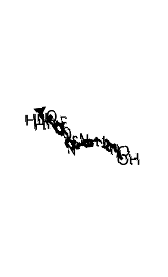 O=C(Nc1ccc(Oc2ccnc3cc(-c4ccc(CN5CC6CN(C(=O)CO)CC6C5)cn4)sc23)c(F)c1)NC1CC1